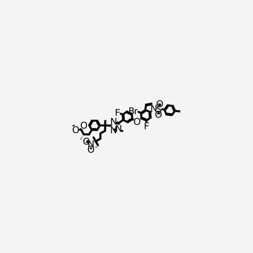 COC(=O)[C@@H](C)Cc1cccc(C(C)(CCCC(C)(C)[N+](=O)[O-])c2nc(-c3cc(Oc4c(F)cc5c(ccn5S(=O)(=O)c5ccc(C)cc5)c4Br)ccc3F)n(C)n2)c1